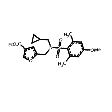 CCOC(=O)c1coc(CN(CC2CC2)S(=O)(=O)c2c(C)cc(OC)cc2C)c1